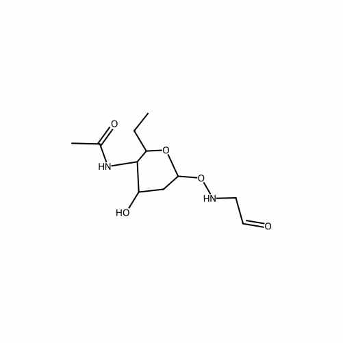 CCC1OC(ONCC=O)CC(O)C1NC(C)=O